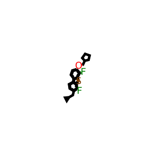 Fc1c(CC2CC2)ccc2c1sc1c(F)c(OCC3CCCC3)ccc12